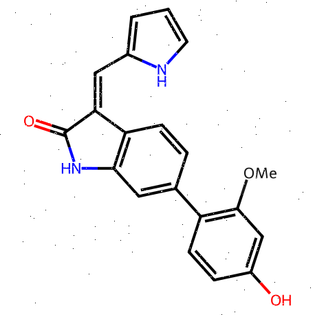 COc1cc(O)ccc1-c1ccc2c(c1)NC(=O)C2=Cc1ccc[nH]1